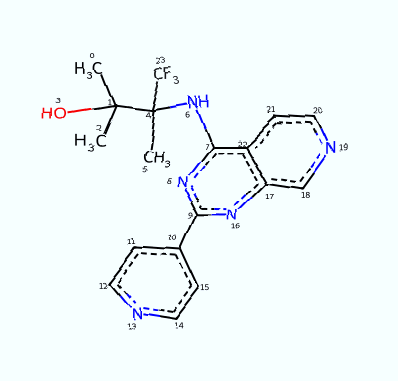 CC(C)(O)C(C)(Nc1nc(-c2ccncc2)nc2cnccc12)C(F)(F)F